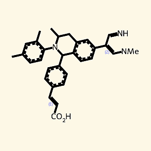 CN/C=C(\C=N)c1ccc2c(c1)CC(C)N(c1ccc(C)cc1C)C2c1ccc(/C=C/C(=O)O)cc1